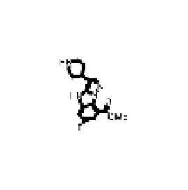 COC(=O)c1cc(F)cc2[nH]c3c(C4CCNCC4)cnn3c12